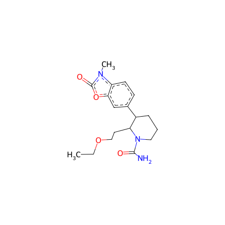 CCOCCC1C(c2ccc3c(c2)oc(=O)n3C)CCCN1C(N)=O